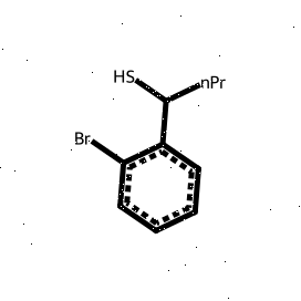 CCCC(S)c1ccccc1Br